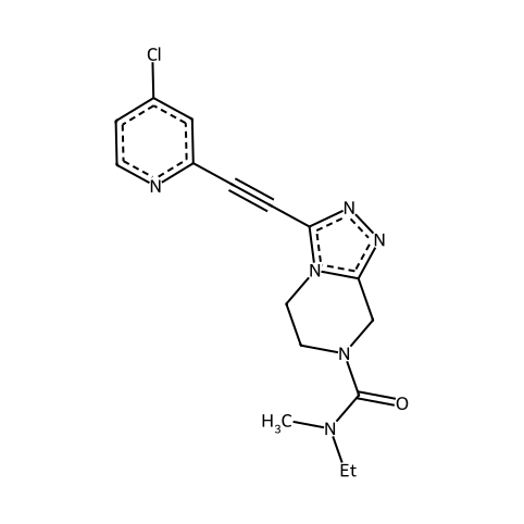 CCN(C)C(=O)N1CCn2c(C#Cc3cc(Cl)ccn3)nnc2C1